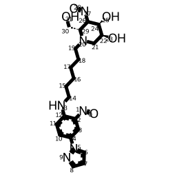 O=Nc1cc(-n2cccn2)ccc1NCCCCCCN1C[C@H](O)[C@@H](O)C(N=O)[C@H]1CO